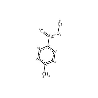 CCO[S@@](=O)c1ccc(C)cc1